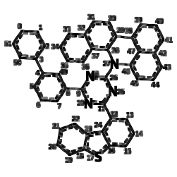 c1ccc(-c2cccc(-c3nc(-c4cccc5sc6ccccc6c45)nc(N4c5c(ccc6ccccc56)-c5cccc6cccc4c56)n3)c2)cc1